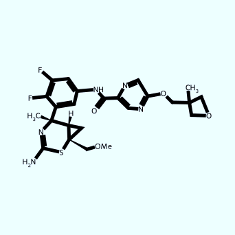 COC[C@]12C[C@H]1[C@@](C)(c1cc(NC(=O)c3cnc(OCC4(C)COC4)cn3)cc(F)c1F)N=C(N)S2